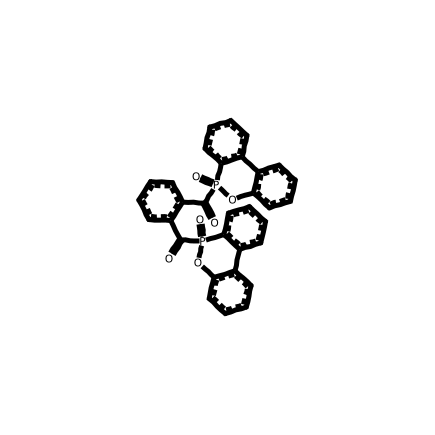 O=C(c1ccccc1C(=O)P1(=O)Oc2ccccc2-c2ccccc21)P1(=O)Oc2ccccc2-c2ccccc21